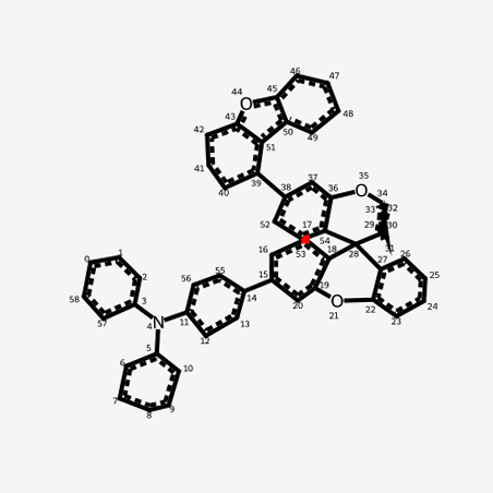 c1ccc(N(c2ccccc2)c2ccc(-c3ccc4c(c3)Oc3ccccc3C43c4ccccc4Oc4cc(-c5cccc6oc7ccccc7c56)ccc43)cc2)cc1